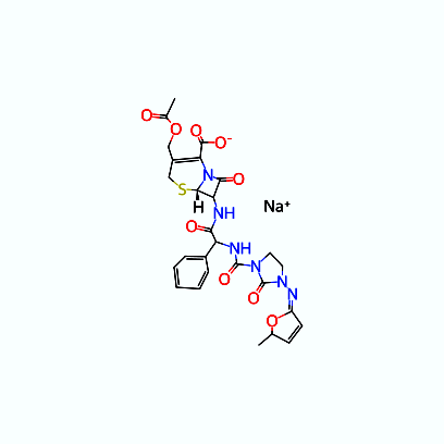 CC(=O)OCC1=C(C(=O)[O-])N2C(=O)C(NC(=O)C(NC(=O)N3CCN(N=C4C=CC(C)O4)C3=O)c3ccccc3)[C@@H]2SC1.[Na+]